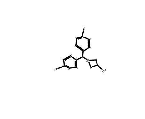 OC1CN(C(c2ccc(F)cc2)c2ccc(F)cc2)C1